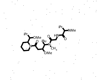 CCC(C)C(C(CC(=O)N1CCCCC1C(OC)C(C)C)OC)N(C)C(=O)CNC(=O)C(NC)C(C)C